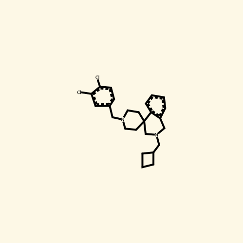 Clc1ccc(CN2CCC3(CC2)CN(CC2CCC2)Cc2ccccc23)cc1Cl